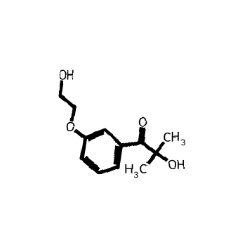 CC(C)(O)C(=O)c1cccc(OCCO)c1